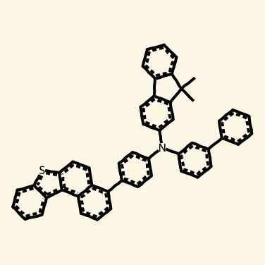 CC1(C)c2ccccc2-c2ccc(N(c3ccc(-c4cccc5c4ccc4sc6ccccc6c45)cc3)c3cccc(-c4ccccc4)c3)cc21